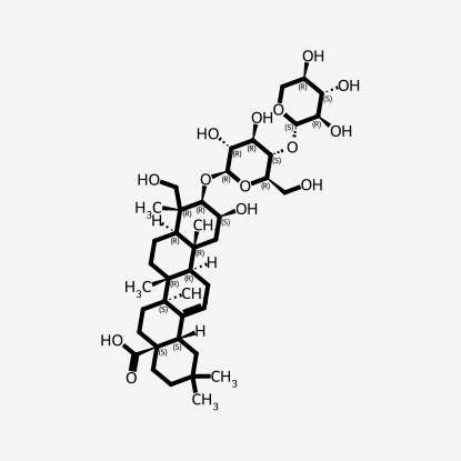 CC1(C)CC[C@]2(C(=O)O)CC[C@]3(C)C(=CC[C@@H]4[C@@]5(C)C[C@H](O)[C@H](O[C@@H]6O[C@H](CO)[C@@H](O[C@@H]7OC[C@@H](O)[C@H](O)[C@H]7O)[C@H](O)[C@H]6O)[C@@](C)(CO)[C@@H]5CC[C@]43C)[C@@H]2C1